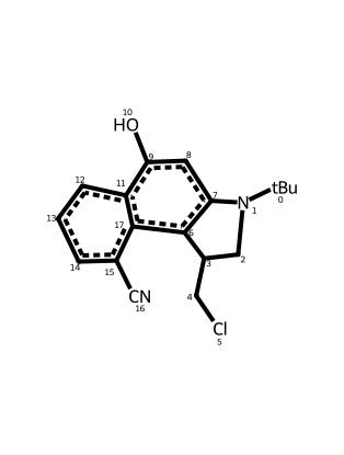 CC(C)(C)N1CC(CCl)c2c1cc(O)c1cccc(C#N)c21